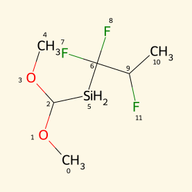 COC(OC)[SiH2]C(F)(F)C(C)F